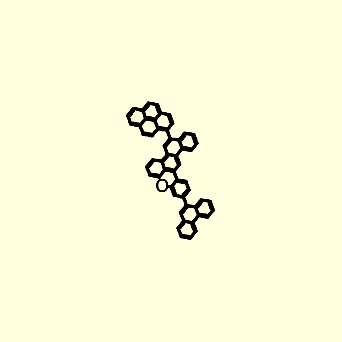 c1ccc2c(c1)cc(-c1ccc3c(c1)Oc1cccc4c1c-3cc1c3ccccc3c(-c3ccc5ccc6cccc7ccc3c5c67)cc41)c1ccccc12